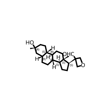 C[C@@]1(O)CC[C@H]2[C@H](CC[C@@H]3[C@@H]2CC[C@]2(C)[C@@H](C4(C=O)COC4)CC[C@@H]32)C1